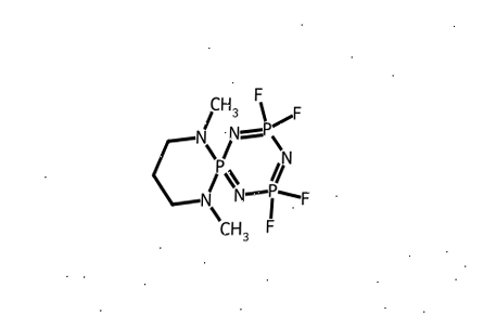 CN1CCCN(C)P12=NP(F)(F)=NP(F)(F)=N2